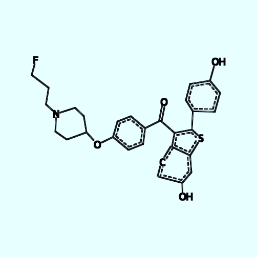 O=C(c1ccc(OC2CCN(CCCF)CC2)cc1)c1c(-c2ccc(O)cc2)sc2cc(O)ccc12